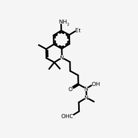 CCc1cc2c(cc1N)C(C)=CC(C)(C)N2CCCC(=O)N(O)N(C)CCC=O